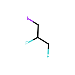 FCC(F)CI